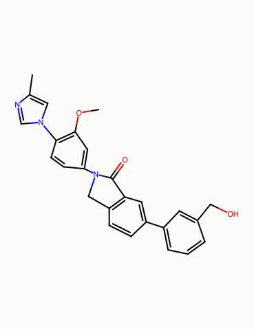 COc1cc(N2Cc3ccc(-c4cccc(CO)c4)cc3C2=O)ccc1-n1cnc(C)c1